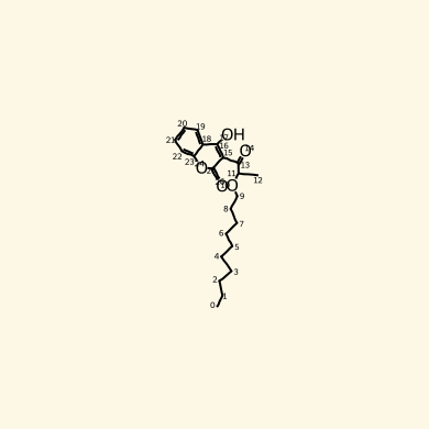 CCCCCCCCCCOC(C)C(=O)c1c(O)c2ccccc2oc1=O